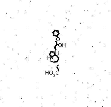 O=C(O)CCC[C@H]1CC[C@H]2[C@H](CC[C@@H]2/C=C/[C@@H](O)COc2ccccc2)OC1